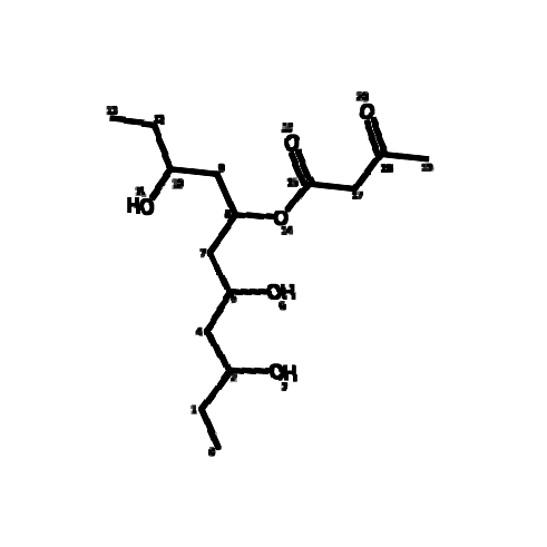 CCC(O)CC(O)CC(CC(O)CC)OC(=O)CC(C)=O